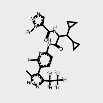 [2H]C([2H])([2H])C([2H])([2H])c1n[nH]c(C)c1-c1ccc(NC(=O)C(NC(=O)c2cnnn2C(C)C)C(C2CC2)C2CC2)nc1F